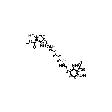 COC(=O)c1c(O)ccc(CCNCCCCCCNCCc2ccc(O)c(C(=O)OC)c2N)c1N